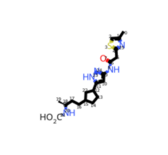 Cc1csc(CC(=O)Nc2cc(C3CCC(CC[C@H](C)NC(=O)O)C3)[nH]n2)n1